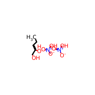 CCC=C(O)CO.O=[N+]([O-])O.O=[N+]([O-])O